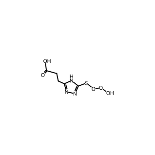 O=C(O)CCc1nnc(SOOO)[nH]1